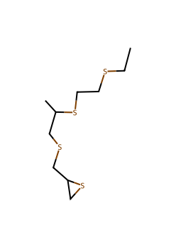 CCSCCSC(C)CSCC1CS1